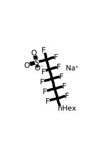 CCCCCCC(F)(F)C(F)(F)C(F)(F)C(F)(F)C(F)(F)S(=O)(=O)[O-].[Na+]